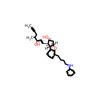 CC#CC[C@@H](C)[C@H](O)/C=C/[C@@H]1[C@H]2c3cccc(CCCCNc4ccccc4)c3O[C@H]2C[C@H]1O